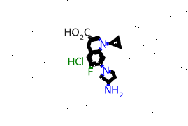 Cl.NC1CCN(c2cc3c(cc2F)CC(C(=O)O)=CN3C2CC2)C1